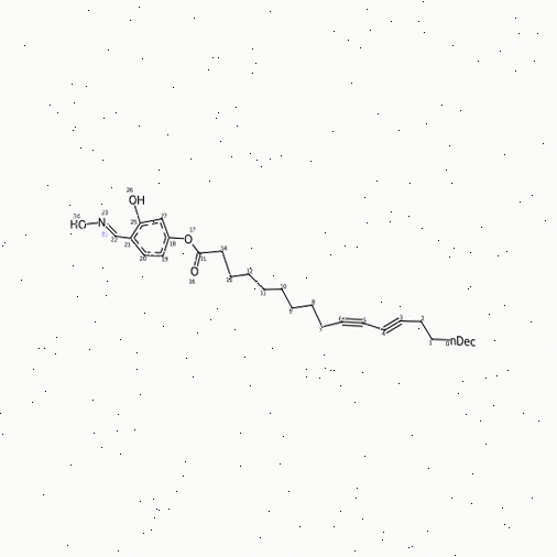 CCCCCCCCCCCCC#CC#CCCCCCCCCC(=O)Oc1ccc(/C=N/O)c(O)c1